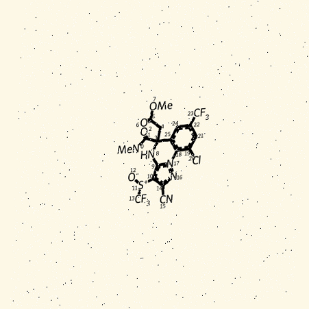 CNC(=O)C1(CC(=O)OC)Nc2c([S+]([O-])C(F)(F)F)c(C#N)nn2-c2c(Cl)cc(C(F)(F)F)cc21